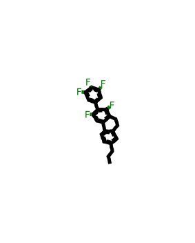 CCCc1ccc2c(c1)CCc1c-2cc(F)c(-c2cc(F)c(F)c(F)c2)c1F